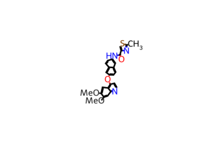 COc1cc2nccc(Oc3ccc4cc(NC(=O)c5csc(C)n5)ccc4c3)c2cc1OC